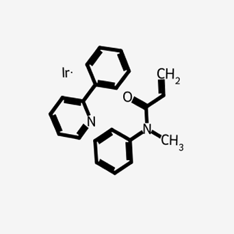 C=CC(=O)N(C)c1ccccc1.[Ir].c1ccc(-c2ccccn2)cc1